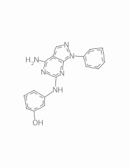 Nc1nc(Nc2cccc(O)c2)nc2c1cnn2-c1ccccc1